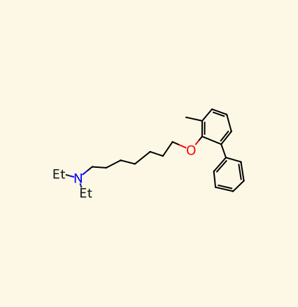 CCN(CC)CCCCCCCOc1c(C)cccc1-c1ccccc1